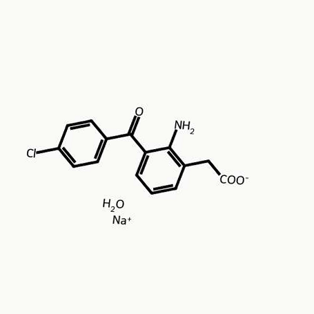 Nc1c(CC(=O)[O-])cccc1C(=O)c1ccc(Cl)cc1.O.[Na+]